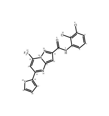 O=C(Nc1cccc(Cl)c1Cl)c1cc2nc(-c3cccs3)cc(C(F)(F)F)n2n1